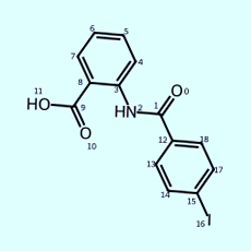 O=C(Nc1ccccc1C(=O)O)c1ccc(I)cc1